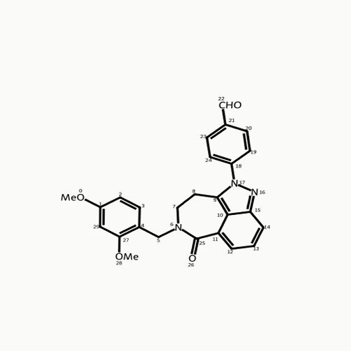 COc1ccc(CN2CCc3c4c(cccc4nn3-c3ccc(C=O)cc3)C2=O)c(OC)c1